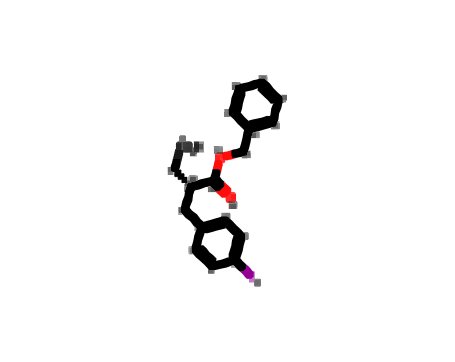 O=C(O)C[C@@H](Cc1ccc(I)cc1)C(=O)OCc1ccccc1